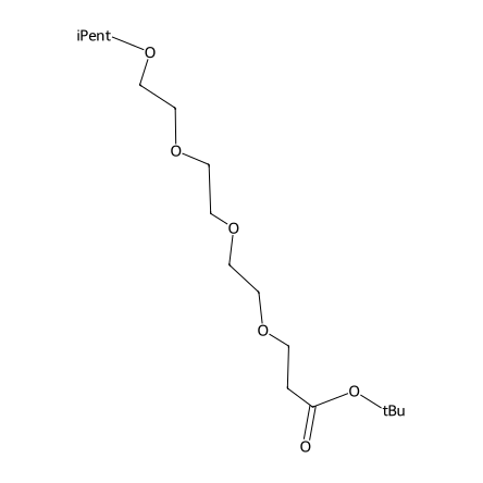 CCCC(C)OCCOCCOCCOCCC(=O)OC(C)(C)C